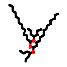 CCCCCCCCCCCCCC(OC(CCC)CCC)OC(CCCCCCCCCCCCC)OC(CCC)CCC